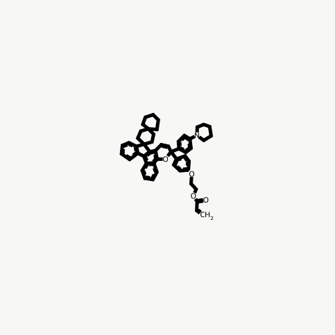 C=CC(=O)OCCOc1ccc(C2(c3ccc(N4CCCCC4)cc3)C=Cc3c4c(c5ccccc5c3O2)-c2ccccc2C42CCC3(CCCCC3)CC2)cc1